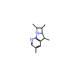 Cc1cnc2c(c1)C(C)C1C(C)C(C)N21